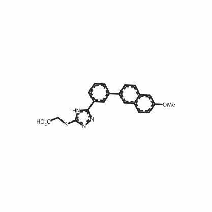 COc1ccc2cc(-c3cccc(-c4nnc(SCC(=O)O)[nH]4)c3)ccc2c1